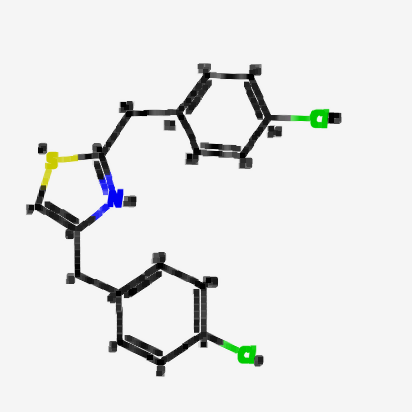 Clc1ccc(Cc2csc(Cc3ccc(Cl)cc3)n2)cc1